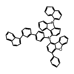 c1ccc(-c2ccc(N(c3ccc(-c4cccc(-c5cccc6ccccc56)c4)cc3)c3cccc4c3c3ccccc3n4-c3cccc4ccccc34)c3c2oc2ccccc23)cc1